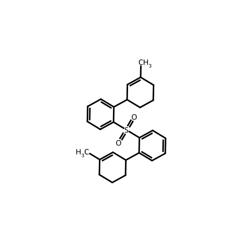 CC1=CC(c2ccccc2S(=O)(=O)c2ccccc2C2C=C(C)CCC2)CCC1